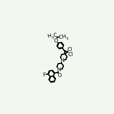 CC(C)Oc1ccc(C2C(Cl)(Cl)C23CCN(C2CCN(C(=O)c4ccc(F)c5ccccc45)CC2)CC3)cc1